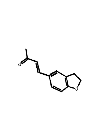 CC(=O)C=Cc1ccc2c(c1)CCO2